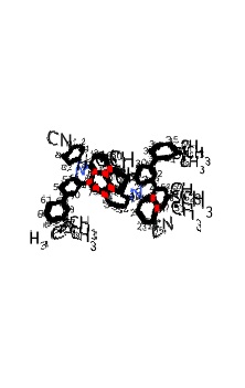 [C-]#[N+]c1ccc(N(C2=C3C=CC4=C5C(=CC=C(C=C2)C35)C(N(c2ccc(C#N)cc2)c2ccc(-c3cccc([Si](C)(C)C)c3)cc2-c2cccc([Si](C)(C)C)c2)C=C4)c2ccc(-c3cccc([Si](C)(C)C)c3)cc2-c2cccc([Si](C)(C)C)c2)cc1